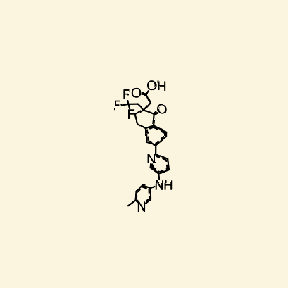 Cc1ccc(Nc2ccc(-c3ccc4c(c3)CCC(CC(=O)O)(CC(F)(F)F)C4=O)nc2)cn1